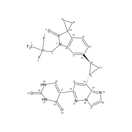 O=C1N(CC(F)(F)C(F)(F)F)c2cc([C@H]3C[C@@H]3c3cc(-c4c[nH]c(=O)[nH]c4=O)nn4ccnc34)ccc2C12CC2